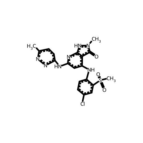 Cc1ccc(Nc2cc(Nc3ccc(Cl)cc3S(C)(=O)=O)c3c(=O)n(C)[nH]c3n2)nn1